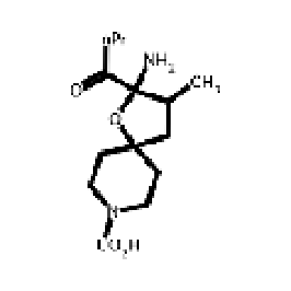 CCCC(=O)C1(N)OC2(CCN(C(=O)O)CC2)CC1C